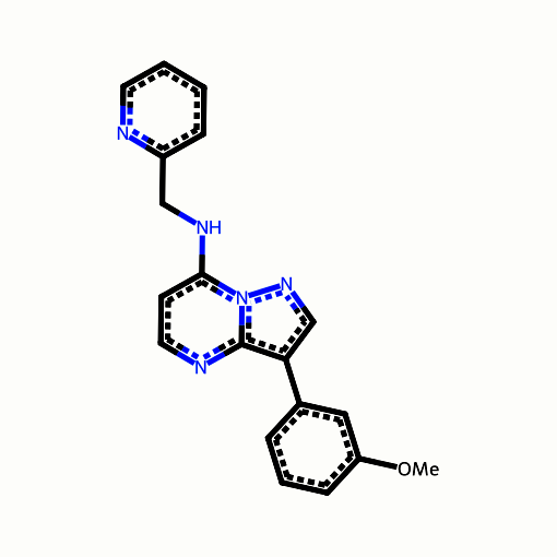 COc1cccc(-c2cnn3c(NCc4ccccn4)ccnc23)c1